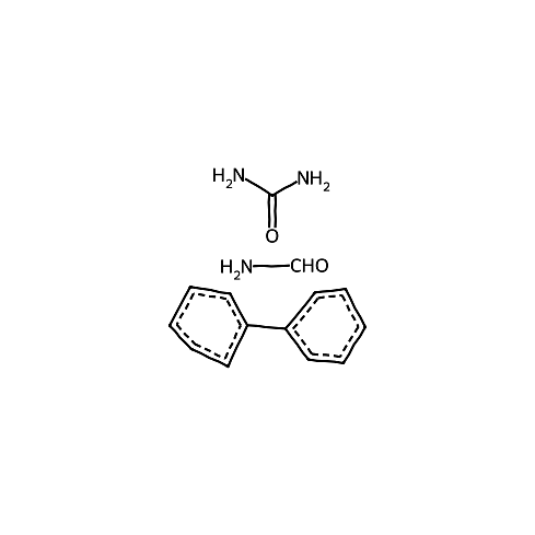 NC(N)=O.NC=O.c1ccc(-c2ccccc2)cc1